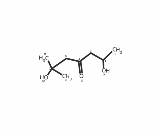 CC(O)CC(=O)CC(C)(C)O